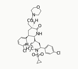 CC(C[C@@H](c1ccc(Cl)cc1)N(C)S(=O)(=O)C1CC1)[C@@H]1NC(=O)[C@](CCN2CCOCC2)(CC(=O)O)C[C@@H]1c1cccc(Cl)c1